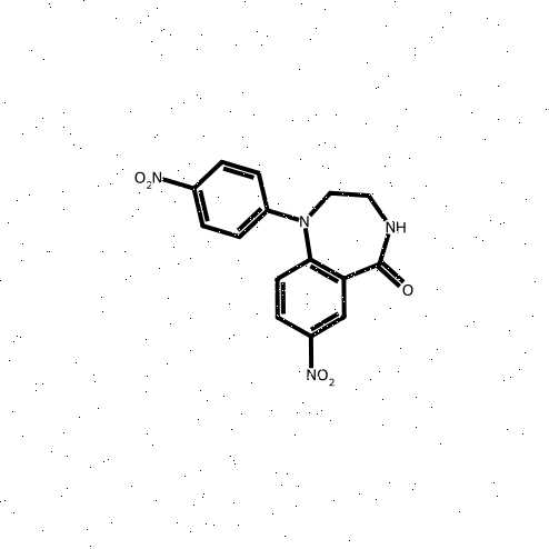 O=C1NCCN(c2ccc([N+](=O)[O-])cc2)c2ccc([N+](=O)[O-])cc21